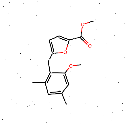 COC(=O)c1ccc(Cc2c(C)cc(C)cc2OC)o1